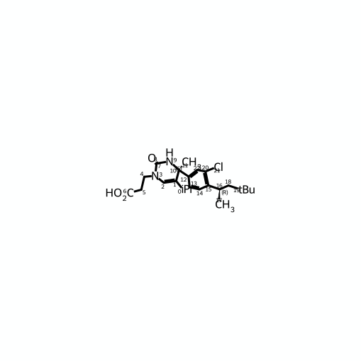 CC(C)C1=CN(CCC(=O)O)C(=O)N[C@@]1(C)c1ccc([C@H](C)CC(C)(C)C)c(Cl)c1